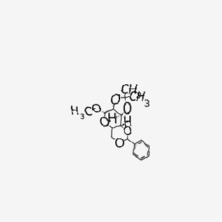 CO[C@H]1OC2COC(c3ccccc3)O[C@H]2[C@@H]2OC(C)(C)OC12